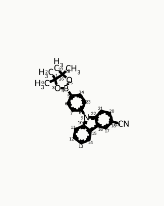 CC1(C)OB(c2ccc(-n3c4ccccc4c4cc(C#N)ccc43)cc2)OC1(C)C